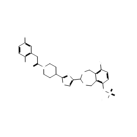 CS(=O)(=O)Oc1ccc([N+](=O)[O-])c2c1COC(c1csc(C3CCN(C(=O)Cc4cc(Cl)ccc4Cl)CC3)n1)OC2